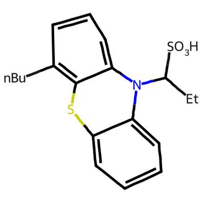 CCCCc1cccc2c1Sc1ccccc1N2C(CC)S(=O)(=O)O